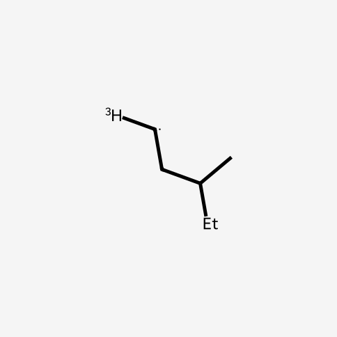 [3H][CH]CC(C)CC